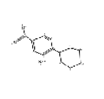 O=S([O-])c1ccc(C2CCCCC2)cc1.[Na+]